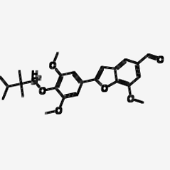 COc1cc(-c2cc3cc(C=O)cc(OC)c3o2)cc(OC)c1O[SiH2]C(C)(C)C(C)C